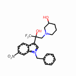 O=[N+]([O-])c1ccc2c(C(O)(CN3CCCC(O)C3)C(F)(F)F)cn(Cc3ccccc3)c2c1